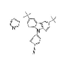 C#Cc1ccc(-n2c3ccc(C(C)(C)C)cc3c3cc(C(C)(C)C)ccc32)cc1.c1ccncc1